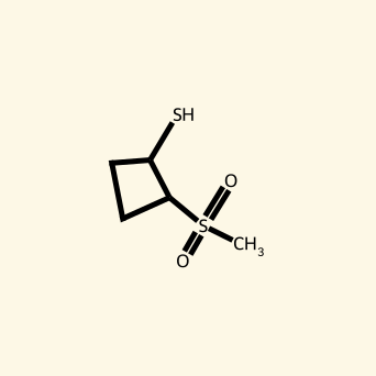 CS(=O)(=O)C1CCC1S